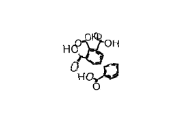 O=C(O)c1cccc(C(=O)O)c1C(=O)O.O=C(O)c1ccccc1